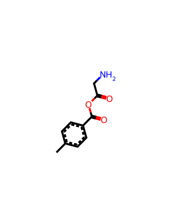 Cc1ccc(C(=O)OC(=O)CN)cc1